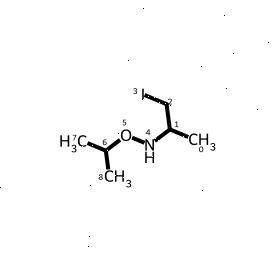 CC(CI)NOC(C)C